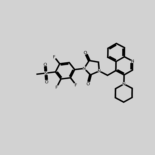 CS(=O)(=O)c1c(F)cc(N2C(=O)CN(Cc3c(N4CCCCC4)cnc4ccccc34)C2=O)c(F)c1F